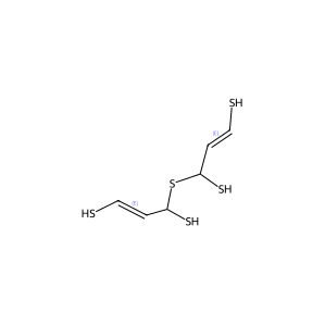 S/C=C/C(S)SC(S)/C=C/S